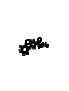 NC(=O)C1=CC2Oc3ccccc3C2=C1